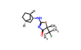 CC(C)(F)[C@@]1(C)SC(N[C@H]2C[C@H]3CC[C@H]2C3)=NC1=O